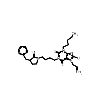 C=CCn1c(Cl)nc2c1c(=O)n(CCCCN1CCC(Cc3ccccc3)C1=O)c(=O)n2CCCCC